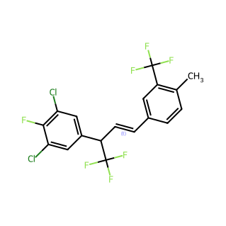 Cc1ccc(/C=C/C(c2cc(Cl)c(F)c(Cl)c2)C(F)(F)F)cc1C(F)(F)F